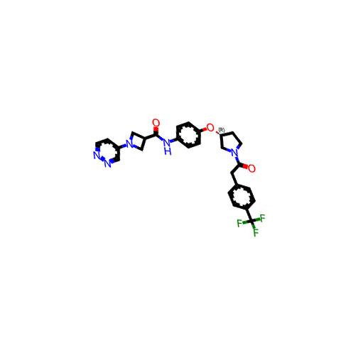 O=C(Nc1ccc(O[C@@H]2CCN(C(=O)Cc3ccc(C(F)(F)F)cc3)C2)cc1)C1CN(c2ccnnc2)C1